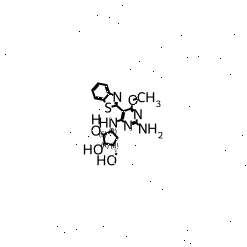 COc1nc(N)nc(N[C@@H]2C[C@H](CO)[C@@H](O)[C@H]2O)c1-c1nc2ccccc2s1